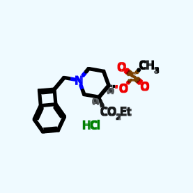 CCOC(=O)[C@H]1CN(CC2=Cc3ccccc32)CC[C@@H]1OS(C)(=O)=O.Cl